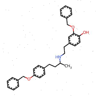 CC(CCc1ccc(OCc2ccccc2)cc1)NCCc1ccc(O)c(OCc2ccccc2)c1